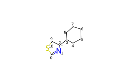 C1=N[C](C2CCCCC2)CS1